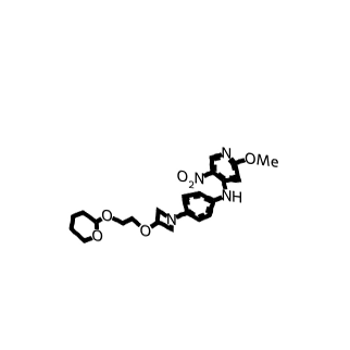 COc1cc(Nc2ccc(N3CC(OCCOC4CCCCO4)C3)cc2)c([N+](=O)[O-])cn1